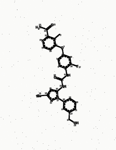 Cc1c(Oc2ccc(NC(=O)Nc3cc(C(C)(C)C)nn3-c3cccc(CO)c3)c(F)c2)ccnc1C(N)=O